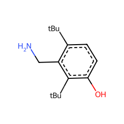 CC(C)(C)c1ccc(O)c(C(C)(C)C)c1CN